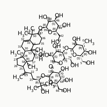 C[C@@H]1[C@@H](O)[C@H](CO)OC(O[C@@H]2[C@@H](O)[C@H](O)[C@@H](O[C@H]3[C@H](O[C@H](CC[C@@H](C)C4CC[C@@]5(C)C6CC=C7C(CC[C@H](O[C@@H]8O[C@H](CO)[C@@H](O)[C@H](O)[C@H]8O)C7(C)C)[C@]6(C)[C@H](O)C[C@]45C)C(C)(C)O)O[C@H](CO)[C@@H](O)[C@@H]3O)O[C@H]2CO)[C@H]1O